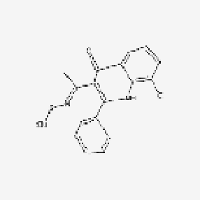 C/C(=N\SC(C)(C)C)c1c(-c2ccccc2)[nH]c2c(Cl)cccc2c1=O